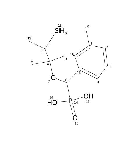 Cc1cccc(C(OC(C)(C)C(C)[SiH3])P(=O)(O)O)c1